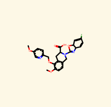 COc1ccc(COc2c(OC)ccc3c2CC(C(=O)O)N(C2=NC4C=CC(F)=CC4O2)C3)nc1